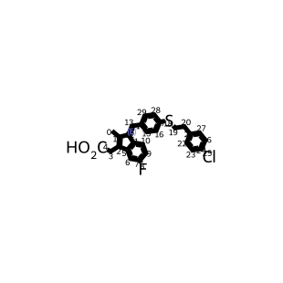 CC1=C(CC(=O)O)c2cc(F)ccc2/C1=C\c1ccc(SCCc2ccc(Cl)cc2)cc1